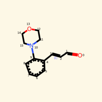 O=[C]/C=C/c1ccccc1N1CCOCC1